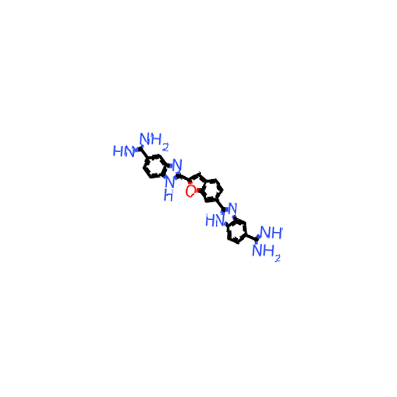 N=C(N)c1ccc2[nH]c(-c3ccc4cc(-c5nc6cc(C(=N)N)ccc6[nH]5)oc4c3)nc2c1